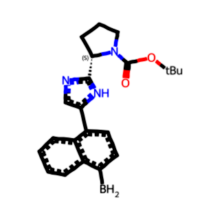 Bc1ccc(-c2cnc([C@@H]3CCCN3C(=O)OC(C)(C)C)[nH]2)c2ccccc12